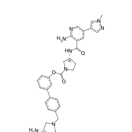 Cn1cc(-c2cnc(N)c(C(=O)N[C@@H]3CCN(C(=O)Oc4cccc(-c5ccc(CN6CC[C@H](N)C6)cc5)c4)C3)c2)cn1